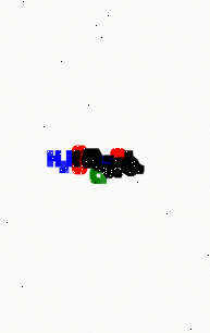 Cc1ccc(C(=O)c2c(C)cc(C(Cl)c3cccc(S(N)(=O)=O)c3)n2C)c(C)c1